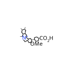 COc1cc2cc[n+]3c(C)c4cc(C)c(C)cc4cc3c2cc1-c1ccc(C(=O)O)cc1